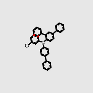 Clc1cccc(N(c2ccc(-c3ccccc3)cc2)c2ccc(-c3ccccc3)cc2-c2ccccc2)c1